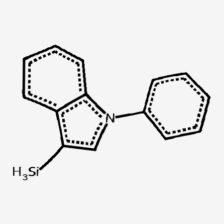 [SiH3]c1cn(-c2ccccc2)c2ccccc12